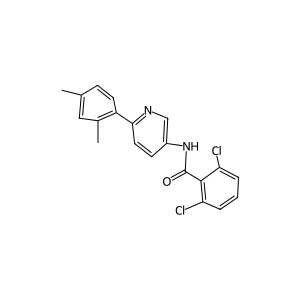 Cc1ccc(-c2ccc(NC(=O)c3c(Cl)cccc3Cl)cn2)c(C)c1